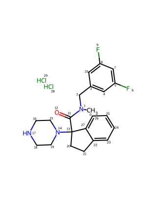 CN(Cc1cc(F)cc(F)c1)C(=O)C1(N2CCNCC2)CCc2ccccc21.Cl.Cl